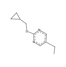 CCc1cnc(OCC2CC2)nc1